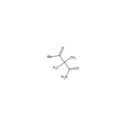 CC(C)(C)C(=O)C(C)(C)C(N)=O